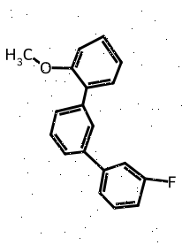 COc1ccccc1-c1cccc(-c2cccc(F)c2)c1